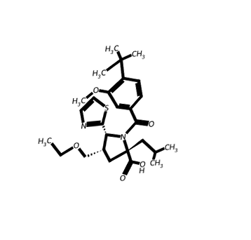 CCOC[C@H]1C[C@@](CC(C)C)(C(=O)O)N(C(=O)c2ccc(C(C)(C)C)c(OC)c2)[C@H]1c1nccs1